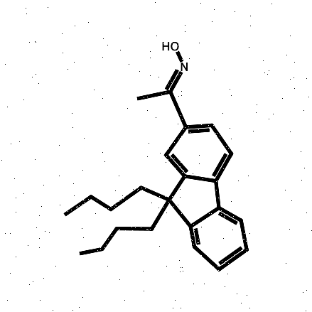 CCCCC1(CCCC)c2ccccc2-c2ccc(/C(C)=N/O)cc21